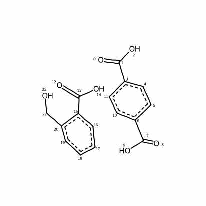 O=C(O)c1ccc(C(=O)O)cc1.O=C(O)c1ccccc1CO